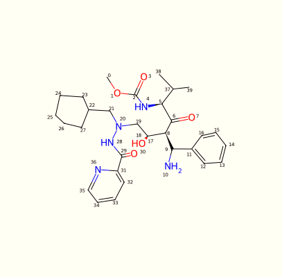 COC(=O)N[C@H](C(=O)[C@@H](C(N)c1ccccc1)[C@@H](O)CN(CC1CCCCC1)NC(=O)c1ccccn1)C(C)C